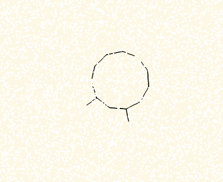 CC1CCCOCCCNC(C)C1